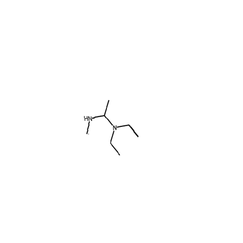 [CH2]NC(C)N(CC)CC